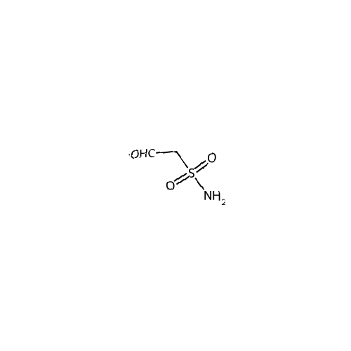 NS(=O)(=O)C[C]=O